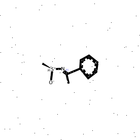 C/C(=N\[S@+](C)[O-])c1ccccc1